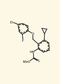 CCc1ccc(OCc2c(NC(=S)OC)cccc2C2CC2)c(F)c1